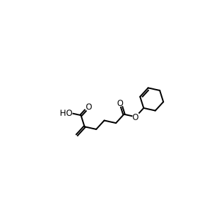 C=C(CCCC(=O)OC1C=CCCC1)C(=O)O